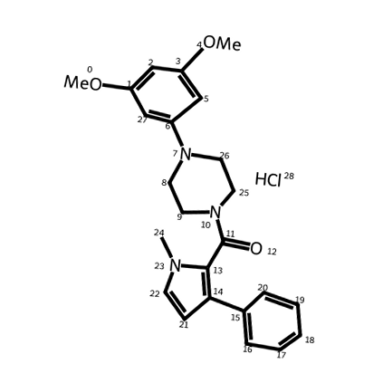 COc1cc(OC)cc(N2CCN(C(=O)c3c(-c4ccccc4)ccn3C)CC2)c1.Cl